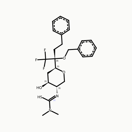 CN(C)/C(S)=N/[C@H]1CO[C@H]([C@@](CCc2ccccc2)(OCc2ccccc2)C(F)(F)F)C[C@@H]1O